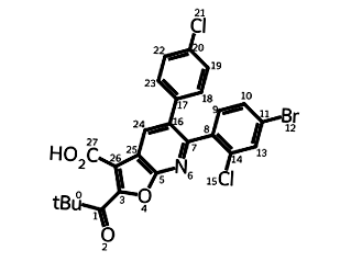 CC(C)(C)C(=O)c1oc2nc(-c3ccc(Br)cc3Cl)c(-c3ccc(Cl)cc3)cc2c1C(=O)O